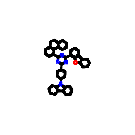 c1ccc2c(c1)ccc1cccc(-c3nc(-c4ccc(-n5c6ccccc6c6ccccc65)cc4)nc(-c4cccc5c4oc4ccccc45)n3)c12